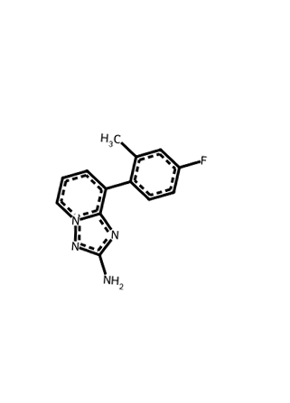 Cc1cc(F)ccc1-c1cccn2nc(N)nc12